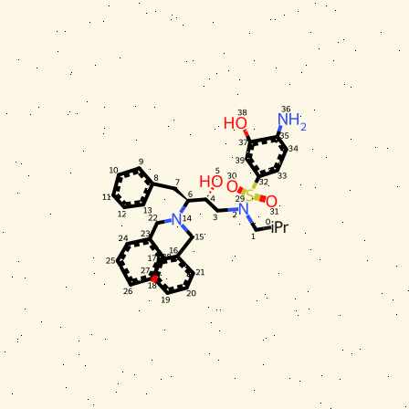 CC(C)CN(C[C@@H](O)[C@H](Cc1ccccc1)N(Cc1ccccc1)Cc1ccccc1)S(=O)(=O)c1ccc(N)c(O)c1